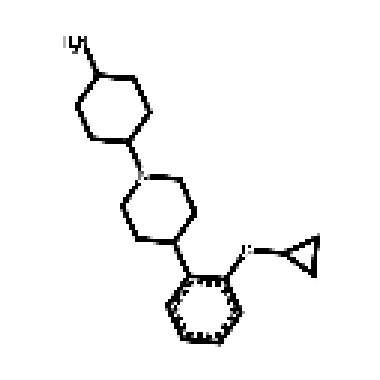 NC1CCC(N2CCC(c3ccccc3OC3CC3)CC2)CC1